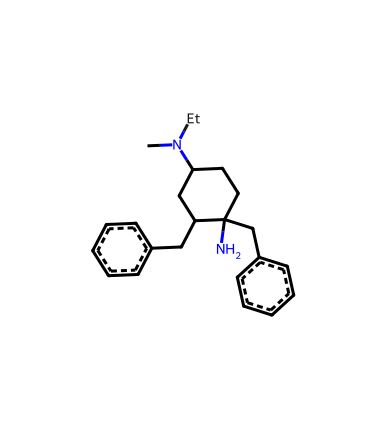 CCN(C)C1CCC(N)(Cc2ccccc2)C(Cc2ccccc2)C1